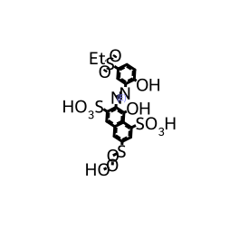 CCS(=O)(=O)c1ccc(O)c(/N=N/c2c(S(=O)(=O)O)cc3cc(SOOO)cc(S(=O)(=O)O)c3c2O)c1